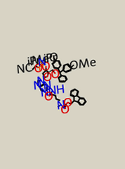 COc1ccc(C(OC[C@H]2O[C@@H](n3cnc4cnc(NC(=O)CCCN(C)C(=O)OCC5c6ccccc6-c6ccccc65)nc43)CC2OP(OCCC#N)N(C(C)C)C(C)C)(c2ccccc2)c2ccc(OC)cc2)cc1